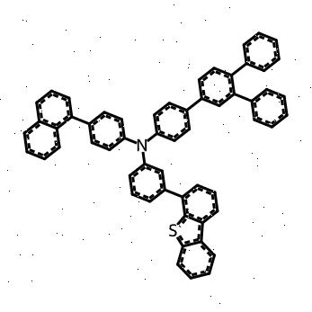 c1ccc(-c2ccc(-c3ccc(N(c4ccc(-c5cccc6ccccc56)cc4)c4cccc(-c5cccc6c5sc5ccccc56)c4)cc3)cc2-c2ccccc2)cc1